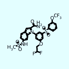 CS(=O)(=O)Nc1ccc2cc(C(N)=O)n(-c3cc(OCC(F)F)cc(S(=O)(=O)c4cccc(OC(F)(F)F)c4)c3)c2c1